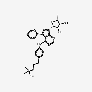 C[C@H]1O[C@@H](n2cc(-c3ccccc3)c3c(Nc4ccc(CCO[Si](C)(C)C(C)(C)C)cc4)ncnc32)[C@H](O)[C@@H]1O